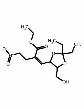 CCOC(=O)C(=CC1OC(CC)(CC)OC1CO)CC[N+](=O)[O-]